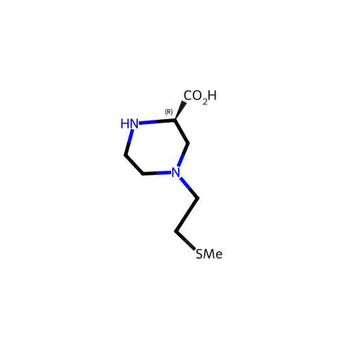 CSCCN1CCN[C@@H](C(=O)O)C1